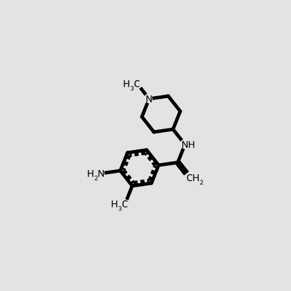 C=C(NC1CCN(C)CC1)c1ccc(N)c(C)c1